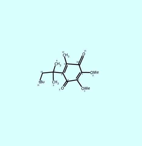 COC1=C(OC)C(=O)C(C(C)(C)CC(C)(C)C)=C(C)C1=O